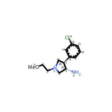 COCCN1C[C@@H](N)[C@H](c2cccc(Cl)c2)C1